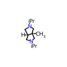 CC(C)N1C[C@H]2CN(C(C)C)C[C@@]2(C)C1